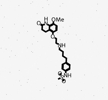 COc1ccc(OCCNCCCCc2ccc(NS(C)(=O)=O)cc2)c2c1NC(=O)CC2